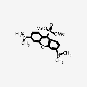 COP(=O)(OC)C1=C2C=CC(N(C)C)C=C2Oc2cc(N(C)C)ccc21